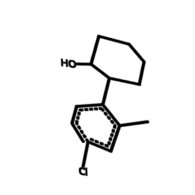 Cc1cc(Cl)ccc1C1CCCCC1O